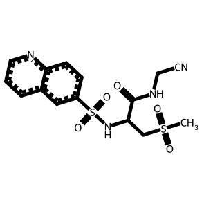 CS(=O)(=O)CC(NS(=O)(=O)c1ccc2ncccc2c1)C(=O)NCC#N